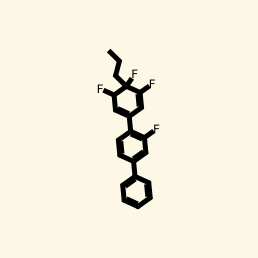 CCCC1(F)C(F)=CC(c2ccc(-c3ccccc3)cc2F)=CC1F